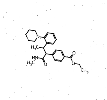 CCOC(=O)c1ccc(C(C(=O)NC)C(C)c2ccccc2N2CCCCC2)cc1